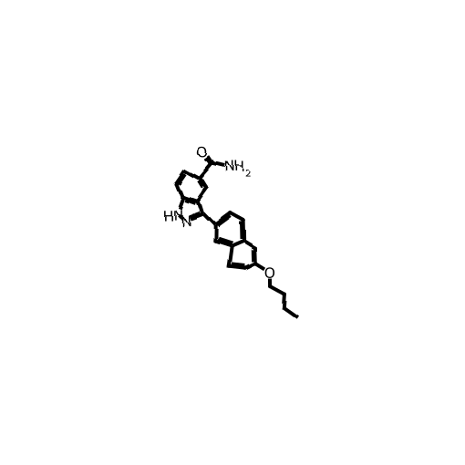 CCCCOc1ccc2cc(-c3n[nH]c4ccc(C(N)=O)cc34)ccc2c1